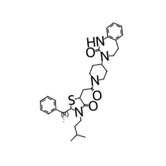 CC(C)CCN1C(=O)C(CC(=O)N2CCC(N3CCc4ccccc4NC3=O)CC2)SC1[C@H](C)c1ccccc1